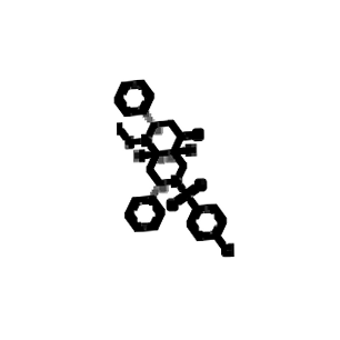 O=C1C[C@@H](c2ccccc2)N(SI)[C@H]2C[C@@H](c3ccccc3)N(S(=O)(=O)c3ccc(Cl)cc3)C[C@@H]12